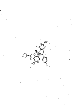 COc1cccc(-c2cc(F)ccc2C2Cc3nc(N)nc(C)c3/C(=N/OCC(=O)N3CCCC3)N2)n1